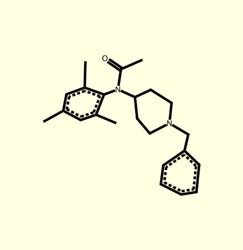 CC(=O)N(c1c(C)cc(C)cc1C)C1CCN(Cc2ccccc2)CC1